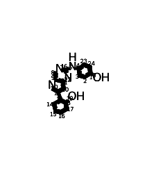 Oc1ccc(Nc2ncc3ncc(-c4ccccc4O)cc3n2)cc1